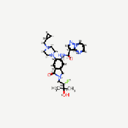 CC(C)(O)[C@H](F)CN1Cc2cc(NC(=O)c3cnn4cccnc34)c(N3CCN(CC4CC4)CC3)cc2C1=O